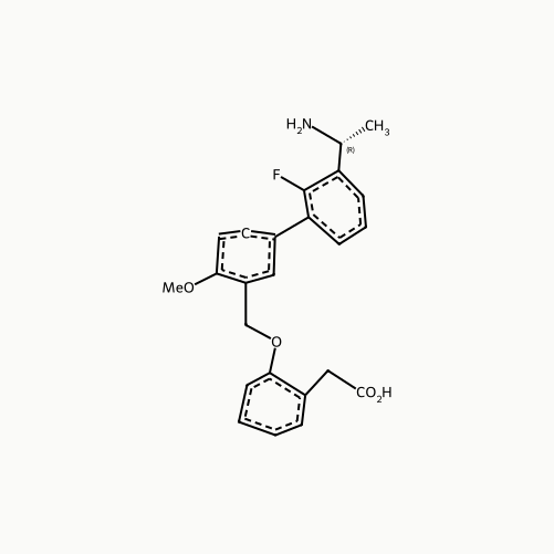 COc1ccc(-c2cccc([C@@H](C)N)c2F)cc1COc1ccccc1CC(=O)O